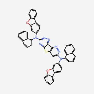 c1ccc2c(N(c3ccc4c(c3)oc3ccccc34)c3cc4sc5nc(N(c6ccc7c(c6)oc6ccccc67)c6cccc7ccccc67)nnc5c4nn3)cccc2c1